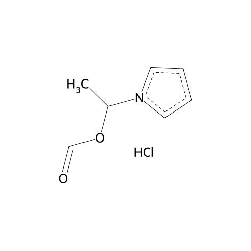 CC(OC=O)n1cccc1.Cl